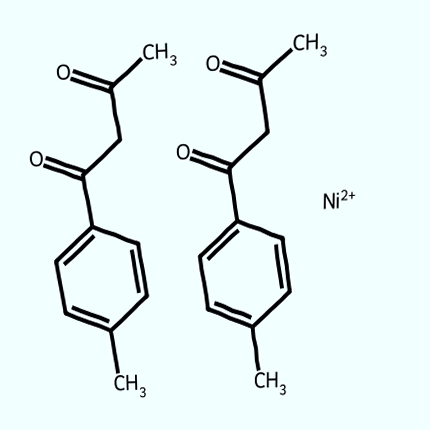 CC(=O)CC(=O)c1ccc(C)cc1.CC(=O)CC(=O)c1ccc(C)cc1.[Ni+2]